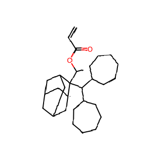 C=CC(=O)OC(C)C1(C(C2CCCCCC2)C2CCCCCC2)[C]2CC3CC(C2)CC1C3